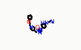 CN(C)CCNc1ccc(-n2cnn(CC3CCN(CCOc4ccccc4)CC3)c2=O)cc1